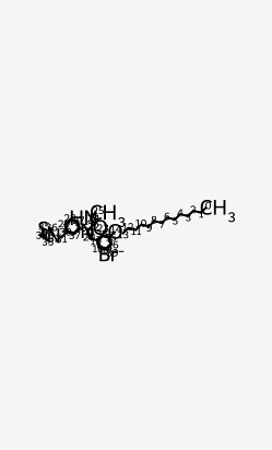 CCCCCCCCCCCCCCOc1cccc(CN(C(=O)NC)c2cccc(C[n+]3ccsc3)c2)c1.[Br-]